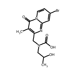 Cc1c(CN(CC(C)O)C(=O)O)nc2cc(Br)ccn2c1=O